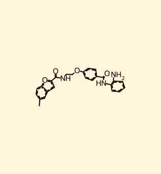 Cc1ccc2oc(C(=O)NCCOc3ccc(C(=O)Nc4ccccc4N)cc3)cc2c1